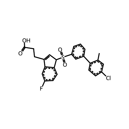 Cc1cc(Cl)ccc1-c1cccc(S(=O)(=O)C2C=C(CCC(=O)O)c3cc(F)ccc32)c1